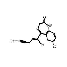 CCC#CC/C=C(/C1=NCC(=O)NC2=C1CC(CC)C=C2)C(C)C